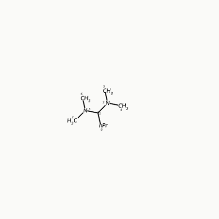 [CH2]CC[C](N(C)C)N(C)C